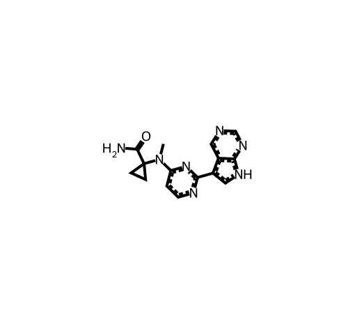 CN(c1ccnc(-c2c[nH]c3ncncc23)n1)C1(C(N)=O)CC1